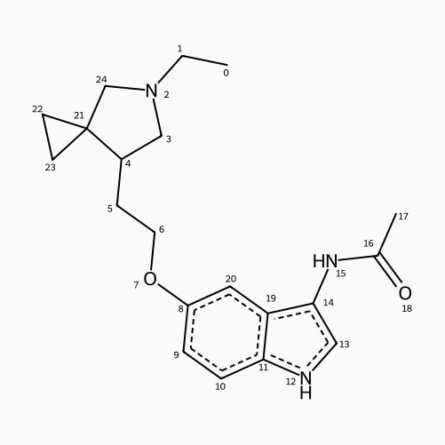 CCN1CC(CCOc2ccc3[nH]cc(NC(C)=O)c3c2)C2(CC2)C1